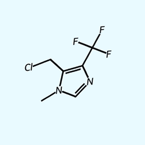 Cn1cnc(C(F)(F)F)c1CCl